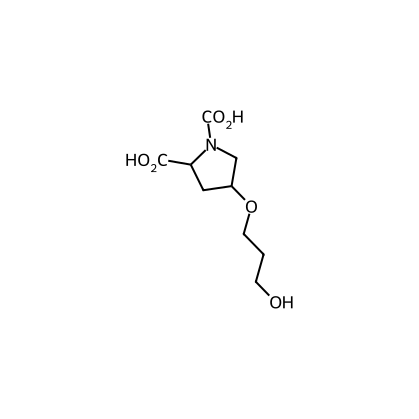 O=C(O)C1CC(OCCCO)CN1C(=O)O